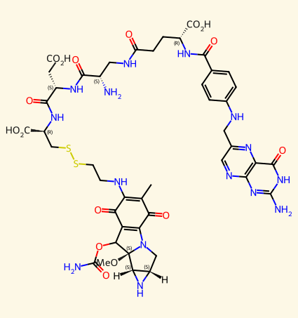 CO[C@@]12C(OC(N)=O)C3=C(C(=O)C(C)=C(NCCSSC[C@H](NC(=O)[C@H](CC(=O)O)NC(=O)[C@@H](N)CNC(=O)CC[C@@H](NC(=O)c4ccc(NCc5cnc6nc(N)[nH]c(=O)c6n5)cc4)C(=O)O)C(=O)O)C3=O)N1C[C@@H]1N[C@@H]12